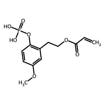 C=CC(=O)OCCc1cc(OC)ccc1OP(=O)(O)O